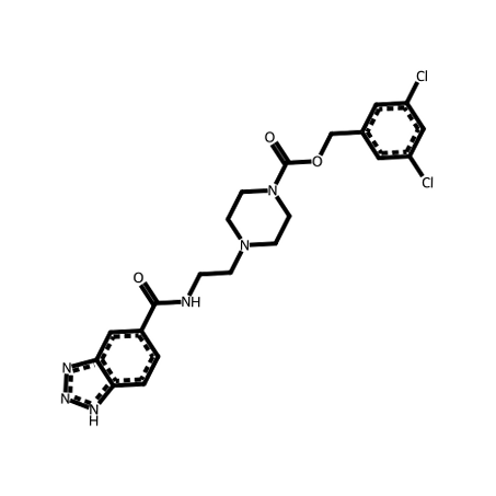 O=C(NCCN1CCN(C(=O)OCc2cc(Cl)cc(Cl)c2)CC1)c1ccc2[nH]nnc2c1